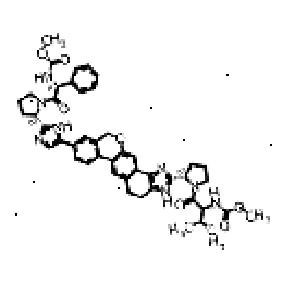 COC(=O)NC(C(=O)N1CCC[C@H]1c1nc2c([nH]1)CCc1cc3c(cc1-2)OCc1cc(-c2cnc([C@@H]4CCCN4C(=O)[C@H](NC(=O)OC)c4ccccc4)[nH]2)ccc1-3)C(C)C